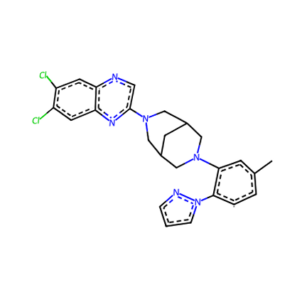 Cc1c[c]c(-n2cccn2)c(N2CC3CC(CN(c4cnc5cc(Cl)c(Cl)cc5n4)C3)C2)c1